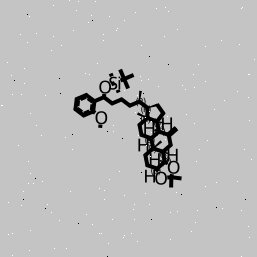 C=C1C[C@H]2[C@H]3OC(C)(C)O[C@H]3CC[C@]2(C)[C@H]2CC[C@]3(C)[C@@H]([C@H](C)CCCC(O[Si](C)(C)C(C)(C)C)c4ccccc4OC)CC[C@H]3[C@H]12